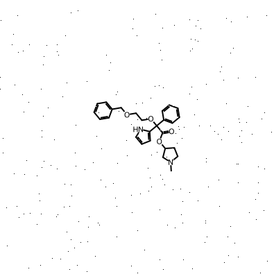 CN1CCC(OC(=O)C(OCCOCc2ccccc2)(c2ccccc2)c2ccc[nH]2)C1